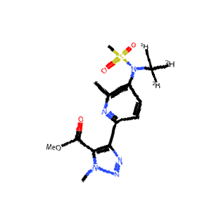 [2H]C([2H])([2H])N(c1ccc(-c2nnn(C)c2C(=O)OC)nc1C)S(C)(=O)=O